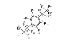 Fc1c(F)c(C(F)(F)C(F)(F)Br)c(F)c(F)c1C(F)(F)C(F)(F)Br